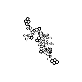 Cc1cccc(OCC(CNC(=O)Cc2ccc3ccc4cccc5ccc2c3c45)N2C(=O)C3Cc4cccc(OCC(CNC(=O)OC(C)(C)C)N5C(=O)C6Cc7cccc(OCC(CNC(=O)OC(C)(C)C)N8C(=O)C9Cc%10cccc(OCC(CNC(=O)Cc%11ccc%12ccc%13cccc%14ccc%11c%12c%13%14)N%11C(=O)[C@@H]%12[C@H](C%11=O)[C@H]%11C=C[C@@H]%12O%11)c%10C(O)C9C8=O)c7C(O)C6C5=O)c4C(O)C3C2=O)c1C=O